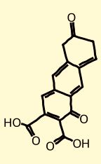 O=C1CC=c2cc3c(cc2C1)=CC(C(=O)O)=C(C(=O)O)C3=O